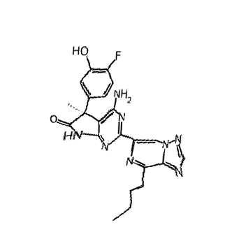 CCCCc1nc(-c2nc(N)c3c(n2)NC(=O)[C@@]3(C)c2ccc(F)c(O)c2)cn2ncnc12